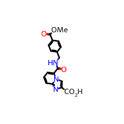 COC(=O)c1ccc(CNC(=O)c2cccc3nc(C(=O)O)cn23)cc1